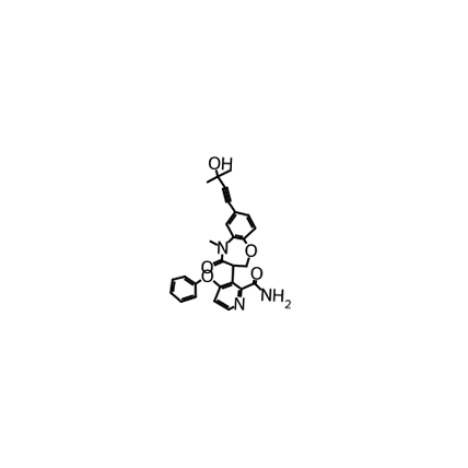 CN1C(=O)C(c2c(Oc3ccccc3)ccnc2C(N)=O)COc2ccc(C#CC(C)(C)O)cc21